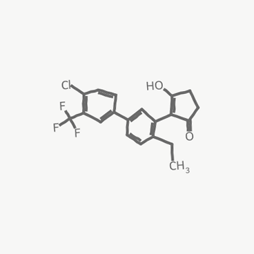 CCc1ccc(-c2ccc(Cl)c(C(F)(F)F)c2)cc1C1=C(O)CCC1=O